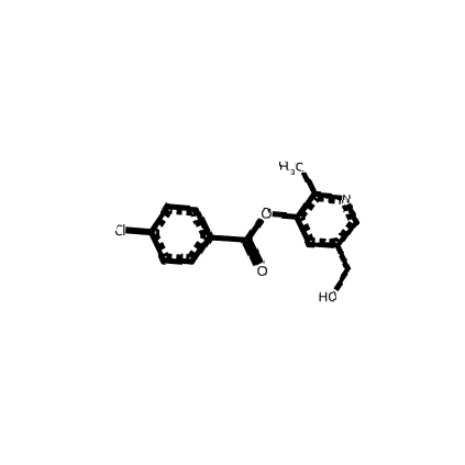 Cc1ncc(CO)cc1OC(=O)c1ccc(Cl)cc1